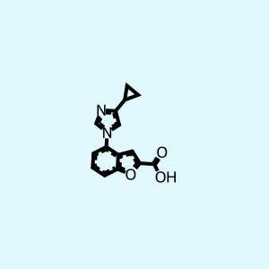 O=C(O)c1cc2c(-n3cnc(C4CC4)c3)cccc2o1